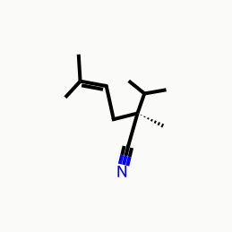 CC(C)=CC[C@](C)(C#N)C(C)C